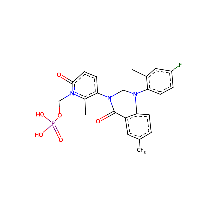 Cc1cc(F)ccc1N1CN(c2ccc(=O)n(COP(=O)(O)O)c2C)C(=O)c2cc(C(F)(F)F)ccc21